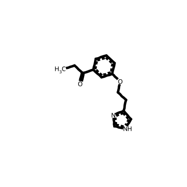 CCC(=O)c1cccc(OCCc2c[nH]cn2)c1